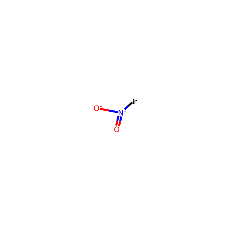 O=[N+]([O-])[Ir]